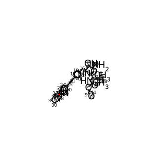 CC(C)(C(NC(=O)OC1COC1)C(=O)N[C@@H](Cc1ccc(C#Cc2ccc(N3CC4CCC(C3)N4C3COC3)nc2)cc1)[C@@H](O)CN)C(F)(F)F